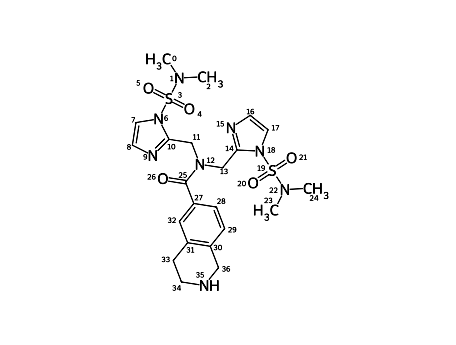 CN(C)S(=O)(=O)n1ccnc1CN(Cc1nccn1S(=O)(=O)N(C)C)C(=O)c1ccc2c(c1)CCNC2